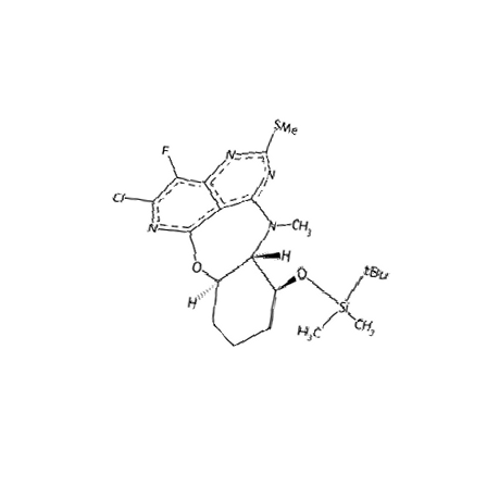 CSc1nc2c3c(nc(Cl)c(F)c3n1)O[C@@H]1CCC[C@H](O[Si](C)(C)C(C)(C)C)[C@H]1N2C